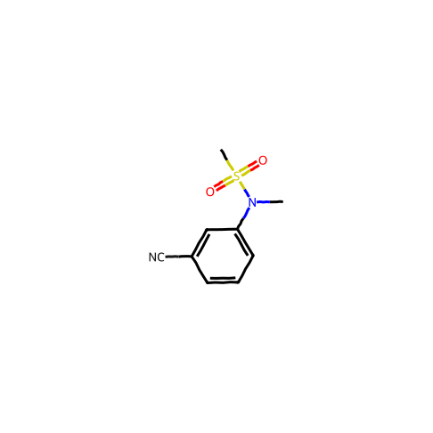 CN(c1cccc(C#N)c1)S(C)(=O)=O